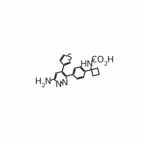 Nc1cc(-c2ccsc2)c(-c2ccc(C3(NC(=O)O)CCC3)cc2)nn1